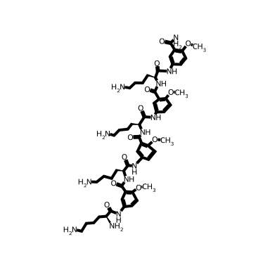 COc1ccc(NC(=O)[C@H](CCCCN)NC(=O)c2cc(NC(=O)[C@H](CCCCN)NC(=O)c3cc(NC(=O)[C@H](CCCCN)NC(=O)c4cc(NC(=O)[C@@H](N)CCCCN)ccc4OC)ccc3OC)ccc2OC)cc1C(N)=O